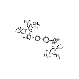 CC(C)(C)OC(=O)C1C[C@]2(CCCO2)C[C@H]1c1nc(-c2ccc(-c3ccc(-c4c[nH]c([C@@H]5CCCN5C(=O)OC(C)(C)C)n4)cc3)cc2)c[nH]1